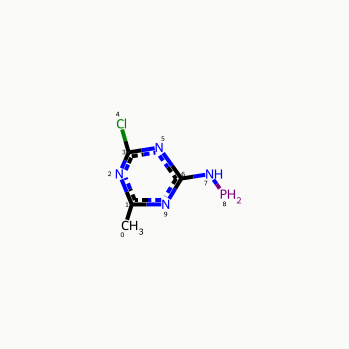 Cc1nc(Cl)nc(NP)n1